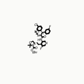 CC(C)(C)OC(=O)N1[C@@H](CCc2c(F)cncc2NC(=O)[C@@H](N=[N+]=[N-])[C@@H](c2ccc(Cl)cc2)c2cccc(F)c2)COC1(C)C